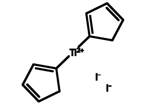 C1=CC[C]([Ti+2][C]2=CC=CC2)=C1.[I-].[I-]